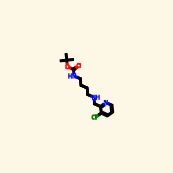 CC(C)(C)OC(=O)NCCCCNCc1ncccc1Cl